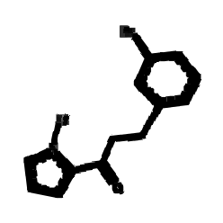 CCn1cccc1C(=O)CCc1cccc(Br)c1